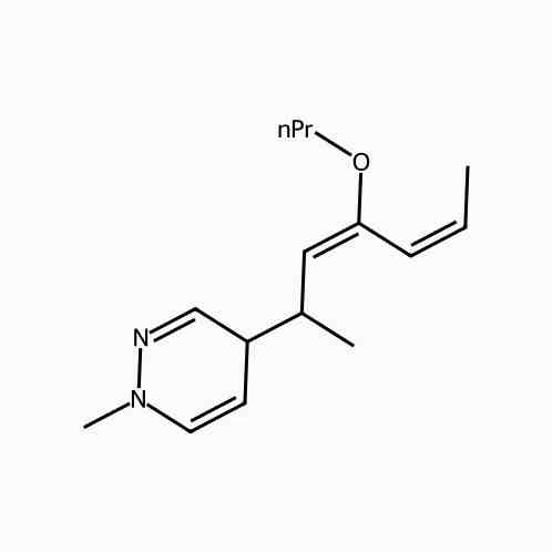 C/C=C\C(=C/C(C)C1C=CN(C)N=C1)OCCC